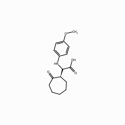 COc1ccc(NC(C(=O)O)[C@H]2CCCCCC2=O)cc1